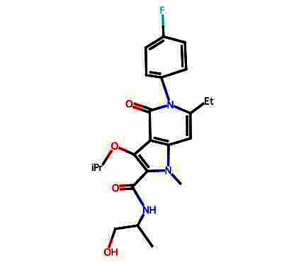 CCc1cc2c(c(OC(C)C)c(C(=O)NC(C)CO)n2C)c(=O)n1-c1ccc(F)cc1